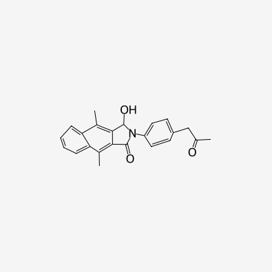 CC(=O)Cc1ccc(N2C(=O)c3c(c(C)c4ccccc4c3C)C2O)cc1